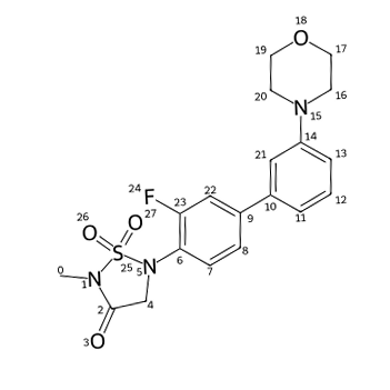 CN1C(=O)CN(c2ccc(-c3cccc(N4CCOCC4)c3)cc2F)S1(=O)=O